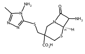 Cc1nnc(SCC2(C(=O)O)CS[C@@H]3C(N)C(=O)N3C2)n1N